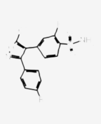 NS(=O)(=O)c1ccc(-c2c(-c3ccc(Br)cc3)noc2C(F)(F)F)cc1F